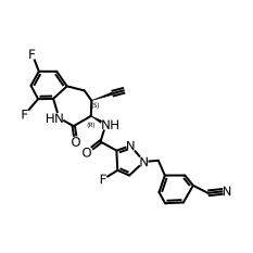 C#C[C@@H]1Cc2cc(F)cc(F)c2NC(=O)[C@@H]1NC(=O)c1nn(Cc2cccc(C#N)c2)cc1F